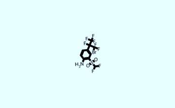 Nc1ccc(C(F)(C(F)(F)F)C(F)(F)Br)cc1S(=O)(=O)C(F)F